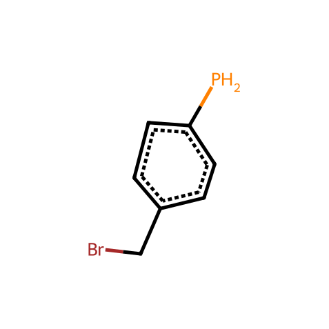 Pc1ccc(CBr)cc1